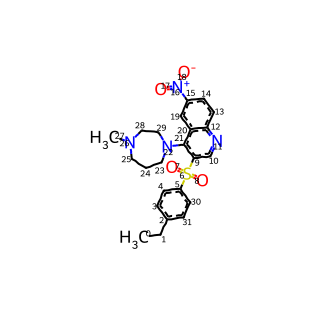 CCc1ccc(S(=O)(=O)c2cnc3ccc([N+](=O)[O-])cc3c2N2CCCN(C)CC2)cc1